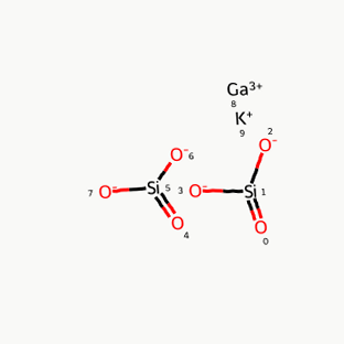 O=[Si]([O-])[O-].O=[Si]([O-])[O-].[Ga+3].[K+]